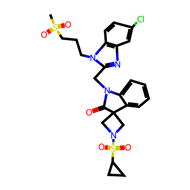 CS(=O)(=O)CCCn1c(CN2C(=O)C3(CN(S(=O)(=O)C4CC4)C3)c3ccccc32)nc2cc(Cl)ccc21